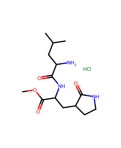 COC(=O)C(CC1CCNC1=O)NC(=O)C(N)CC(C)C.Cl